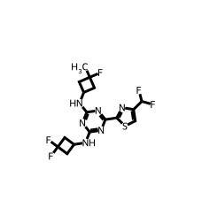 CC1(F)CC(Nc2nc(NC3CC(F)(F)C3)nc(-c3nc(C(F)F)cs3)n2)C1